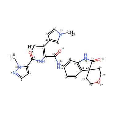 C/C(=C(\NC(=O)c1ccnn1C)C(=O)Nc1ccc2c(c1)NC(=O)C21CCOCC1)c1ccn(C)c1